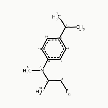 CC(C)c1ccc(N(C)C(C)CF)cc1